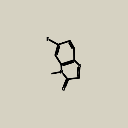 Cn1c(=O)cnc2ccc(F)cc21